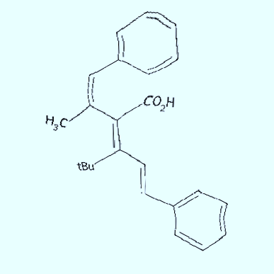 CC(=Cc1ccccc1)C(C(=O)O)=C(C=Cc1ccccc1)C(C)(C)C